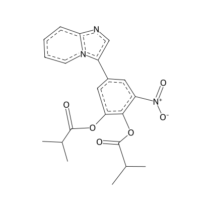 CC(C)C(=O)Oc1cc(-c2cnc3ccccn23)cc([N+](=O)[O-])c1OC(=O)C(C)C